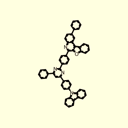 c1ccc(-c2ccc3nc(-c4ccc(-c5nc(-c6ccccc6)cc(-c6ccc(-n7c8ccccc8c8ccccc87)cc6)n5)cc4)c4oc5ccccc5c4c3c2)cc1